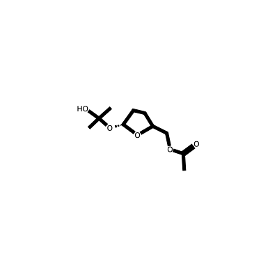 CC(=O)OCC1CC[C@@H](OC(C)(C)O)O1